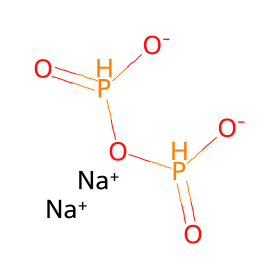 O=[PH]([O-])O[PH](=O)[O-].[Na+].[Na+]